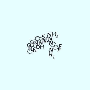 Nc1nc(N2CCC3(CC2)CC(F)(F)CC3N)cnc1Sc1cccc(NC(=O)c2c(O)nc3n(c2=O)CCCC3)c1Cl